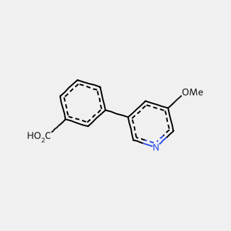 COc1cncc(-c2cccc(C(=O)O)c2)c1